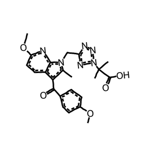 COc1ccc(C(=O)c2c(C)n(Cc3nnn(C(C)(C)C(=O)O)n3)c3nc(OC)ccc23)cc1